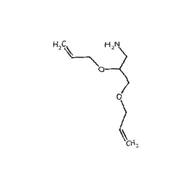 C=CCOCC(CN)OCC=C